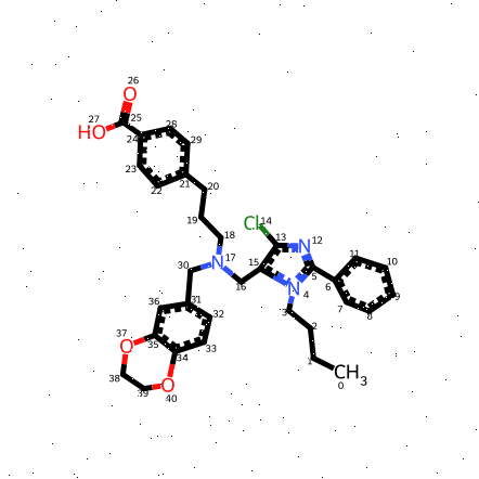 CCCCn1c(-c2ccccc2)nc(Cl)c1CN(CCCc1ccc(C(=O)O)cc1)Cc1ccc2c(c1)OCCO2